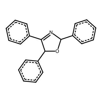 c1ccc(C2=NC(c3ccccc3)OC2c2ccccc2)cc1